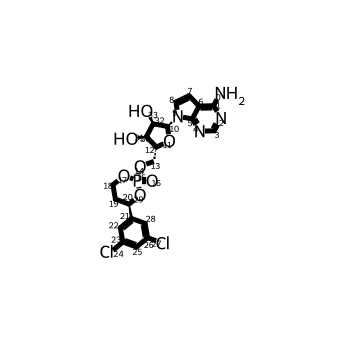 Nc1ncnc2c1ccn2[C@@H]1O[C@H](COP2(=O)OCC[C@H](c3cc(Cl)cc(Cl)c3)O2)[C@@H](O)[C@H]1O